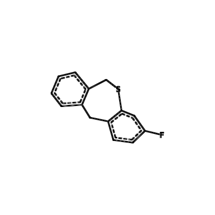 Fc1ccc2c(c1)SCc1ccccc1C2